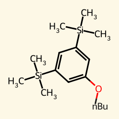 CCCCOc1cc([Si](C)(C)C)cc([Si](C)(C)C)c1